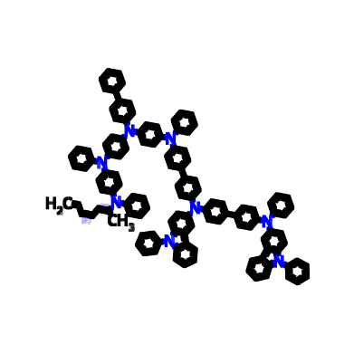 C=C/C=C\C=C(/C)N(c1ccccc1)c1ccc(N(c2ccccc2)c2ccc(N(c3ccc(-c4ccccc4)cc3)c3ccc(N(c4ccccc4)c4ccc(-c5ccc(N(c6ccc(-c7ccc(N(c8ccccc8)c8ccc9c(c8)c8ccccc8n9-c8ccccc8)cc7)cc6)c6ccc7c(c6)c6ccccc6n7-c6ccccc6)cc5)cc4)cc3)cc2)cc1